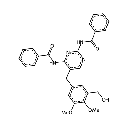 COc1cc(Cc2cnc(NC(=O)c3ccccc3)nc2NC(=O)c2ccccc2)cc(CO)c1OC